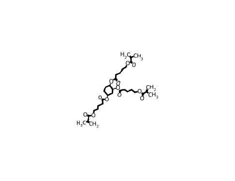 C=C(C)C(=O)OCCCCC(=O)O[C@H]1CC[C@@H](OC(=O)CCCCOC(=O)C(=C)C)[C@@H](OC(=O)CCCCOC(=O)C(=C)C)C1